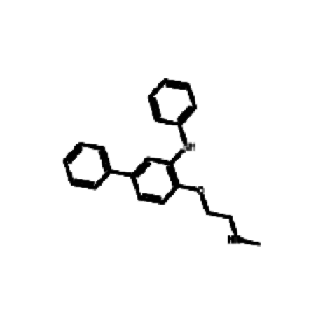 CNCCOc1ccc(-c2ccccc2)cc1Nc1ccccc1